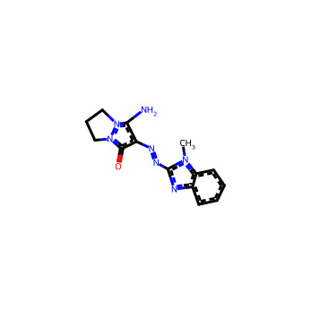 Cn1c(N=Nc2c(N)n3n(c2=O)CCC3)nc2ccccc21